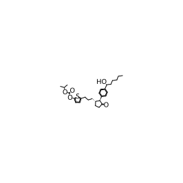 CCCCC[C@@H](O)c1ccc([C@H]2C(=O)CC[C@@H]2CCCc2ccc(OC(=O)OC(C)C)s2)cc1